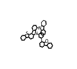 C1=Cc2c(n(-c3cccc4c5c6sc7ccccc7c6ccc5n(-c5cccc(-c6cccc7c6oc6ccccc67)c5)c34)c3ccccc23)CC1